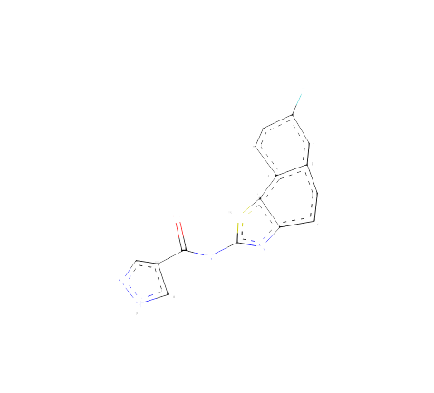 O=C(Nc1nc2ccc3cc(F)ccc3c2s1)c1cn[nH]c1